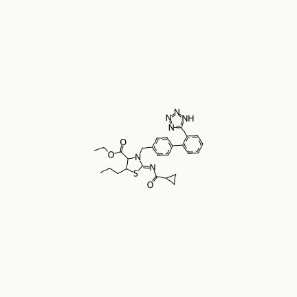 CCCC1SC(=NC(=O)C2CC2)N(Cc2ccc(-c3ccccc3-c3nnn[nH]3)cc2)C1C(=O)OCC